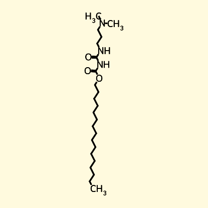 CCCCCCCCCCCCCCCCOC(=O)NC(=O)NCCCN(C)C